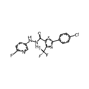 O=C(NNc1ccc(F)nc1)c1sc(-c2ccc(Cl)cc2)nc1C(F)(F)F